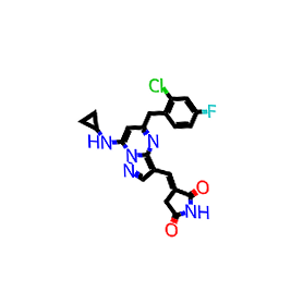 O=C1C/C(=C\c2cnn3c(NC4CC4)cc(Cc4ccc(F)cc4Cl)nc23)C(=O)N1